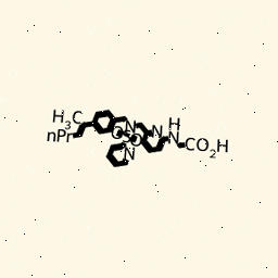 CCCC=C(C)c1ccc(CN(Cc2cccc(NCC(=O)O)n2)S(=O)(=O)c2ccccn2)cc1